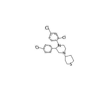 Clc1ccc(C2CN(C3CCSCC3)CCN2c2ccc(Cl)cc2Cl)cc1